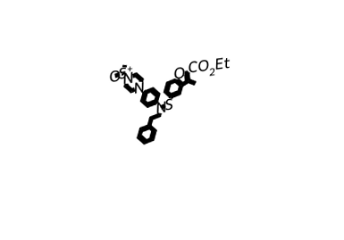 CCOC(=O)c1oc2ccc(SN(CCc3ccccc3)c3ccc(N4CCN([S+](C)[O-])CC4)cc3)cc2c1C